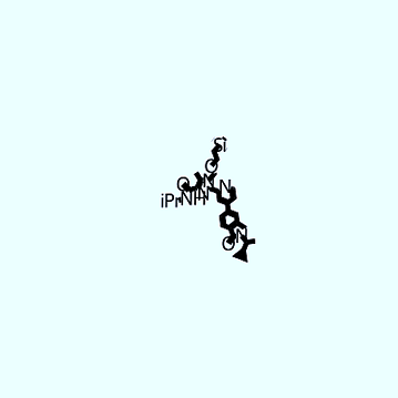 Cc1c(C(=O)NC(C)C)nc(-c2cc(-c3ccc4c(c3)CN(C(C)C3CC3)C4=O)ccn2)n1COCC[Si](C)(C)C